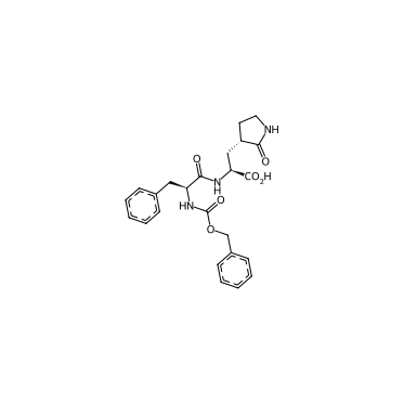 O=C(N[C@@H](Cc1ccccc1)C(=O)N[C@@H](C[C@@H]1CCNC1=O)C(=O)O)OCc1ccccc1